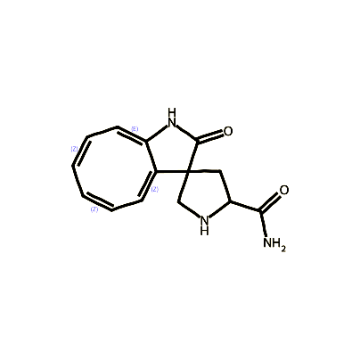 NC(=O)C1CC2(CN1)C(=O)NC1=C/C=C\C=C/C=C\12